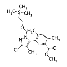 COC(=O)c1cc(-c2c(C)c(Cl)nn2COCC[Si](C)(C)C)c(C)cc1C